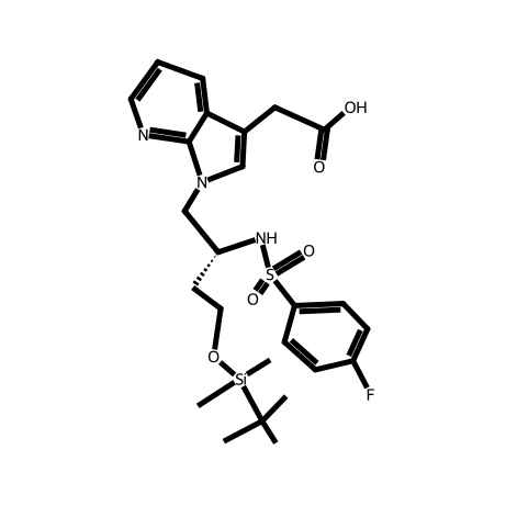 CC(C)(C)[Si](C)(C)OCC[C@H](Cn1cc(CC(=O)O)c2cccnc21)NS(=O)(=O)c1ccc(F)cc1